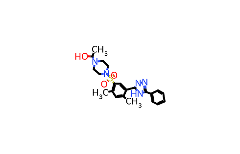 Cc1cc(C)c(S(=O)(=O)N2CCN(C(C)O)CC2)cc1-c1nnc(-c2ccccc2)[nH]1